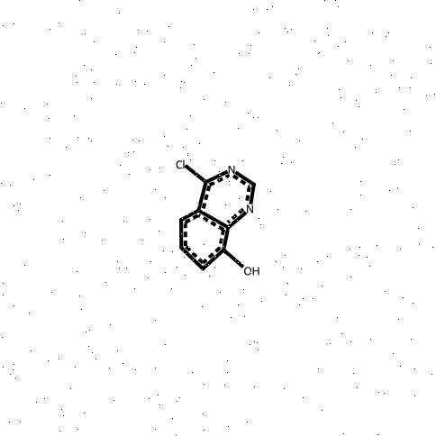 Oc1cccc2c(Cl)ncnc12